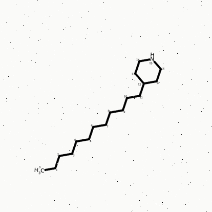 CCCCCCCCCCCCC1CCNCC1